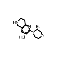 CC[C@@H]1COCCN1c1ccc2c(n1)CCNC2.Cl